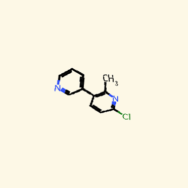 Cc1nc(Cl)ccc1-c1cccnc1